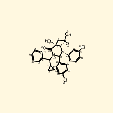 C[C@]1(CC(=O)O)C[C@H](c2cccc(Cl)c2)[C@@H](c2ccc(Cl)cc2)N([C@H](c2ccccn2)C2CC2)C1=O